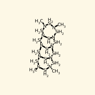 CN1[SiH2]N(C)[SiH2]N2[SiH2]N([SiH2]1)[SiH2]N1[SiH2]N3[SiH2]N(C)[SiH2]N(C)[SiH2]N([SiH2]3)[SiH2]N([SiH2]2)[SiH2]1